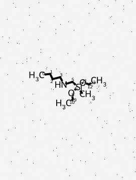 CCCCNC[Si](C)(OCC)OCC